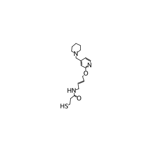 O=C(CCS)NCC=CCOc1cc(CN2CCCCC2)ccn1